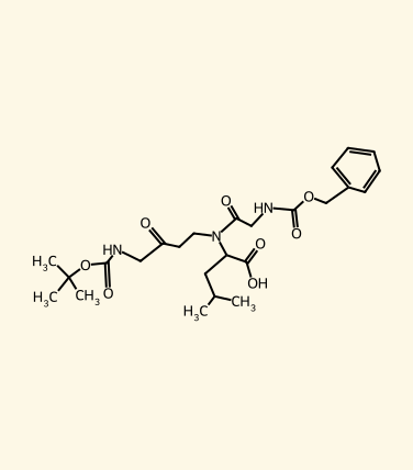 CC(C)CC(C(=O)O)N(CCC(=O)CNC(=O)OC(C)(C)C)C(=O)CNC(=O)OCc1ccccc1